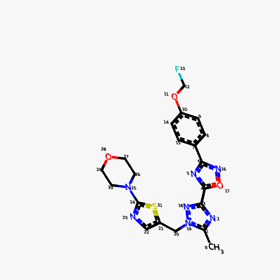 Cc1nc(-c2nc(-c3ccc(OCF)cc3)no2)nn1Cc1cnc(N2CCOCC2)s1